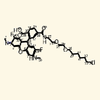 C/N=c1/cc2oc3cc(NC)c(F)cc3c(-c3cc(C(=O)NCCOCCOCCCCCCCl)ccc3C(=O)O)c-2cc1F